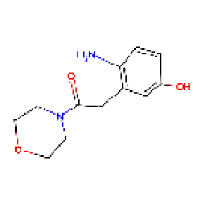 Nc1ccc(O)cc1CC(=O)N1CCOCC1